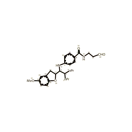 CCCC(CCC)C(Nc1ccc(C(=O)NCCC=O)cc1)C1Cc2cc(OC)ccc2O1